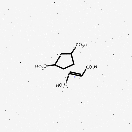 O=C(O)/C=C/C(=O)O.O=C(O)C1CCC(C(=O)O)C1